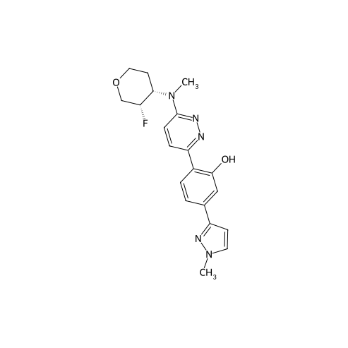 CN(c1ccc(-c2ccc(-c3ccn(C)n3)cc2O)nn1)[C@H]1CCOC[C@H]1F